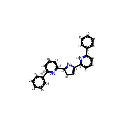 C1=C(c2cccc(-c3ccccc3)n2)N=C(c2cccc(-c3ccccc3)n2)C1